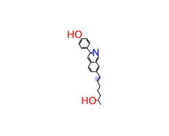 CC(O)CCC/C=C/c1ccc2cc(-c3ccc(O)cc3)ncc2c1